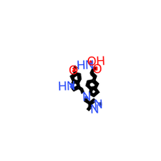 COc1ccc2c(CCN(Cc3cn(C)nc3C)C3CCc4cc(C=CC(=O)NO)ccc43)c[nH]c2c1